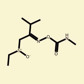 CC[S+]([O-])CC(=NOC(=O)NC)C(C)C